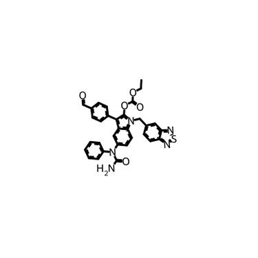 CCOC(=O)Oc1c(-c2ccc(C=O)cc2)c2cc(N(C(N)=O)c3ccccc3)ccc2n1Cc1ccc2nsnc2c1